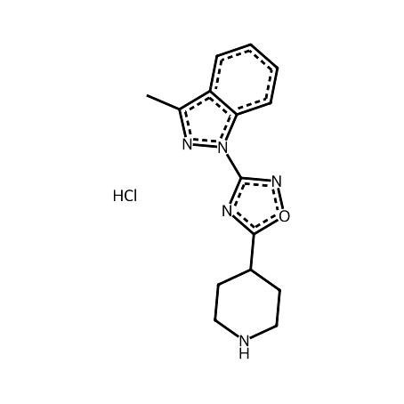 Cc1nn(-c2noc(C3CCNCC3)n2)c2ccccc12.Cl